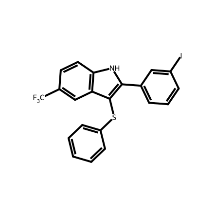 FC(F)(F)c1ccc2[nH]c(-c3cccc(I)c3)c(Sc3ccccc3)c2c1